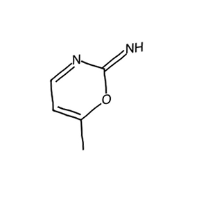 Cc1ccnc(=N)o1